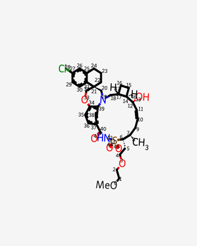 COCCOCC[C@H]1[C@@H](C)C/C=C\[C@H](O)[C@@H]2CC[C@H]2CN2C[C@@]3(CCCc4cc(Cl)ccc43)COc3ccc(cc32)C(=O)NS1(=O)=O